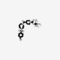 CC(C)(C)OC(=O)N1CCC(C(=O)N2C=CN(S(=O)(=O)c3ccc(Br)cc3)C=CC2)CC1